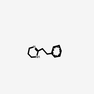 c1ccc(CCC2=NCCCN2)cc1